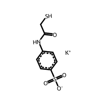 O=C(CS)Nc1ccc(S(=O)(=O)[O-])cc1.[K+]